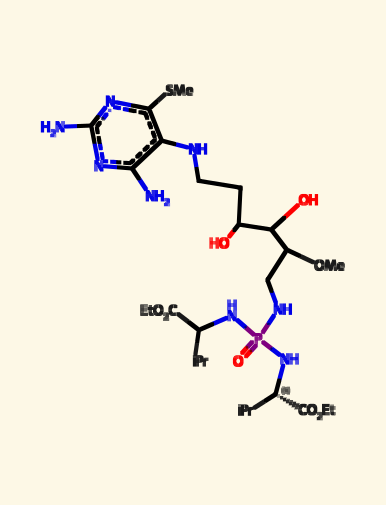 CCOC(=O)C(NP(=O)(NCC(OC)C(O)C(O)CCNc1c(N)nc(N)nc1SC)N[C@H](C(=O)OCC)C(C)C)C(C)C